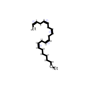 CC/C=C\C/C=C\C/C=C\C/C=C\C/C=C\CCCCCOCC